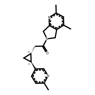 Cc1ccc([C@H]2C[C@@H]2CC(=O)N2Cc3nc(C)cc(C)c3C2)cn1